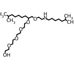 CC(C)CCCCCNCCOCC(CCCCCC(C)C)OCCOCCOCCOCCO